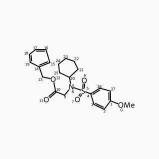 COc1ccc(S(=O)(=O)N(CC(=O)OCc2ccccc2)C2CCCCC2)cc1